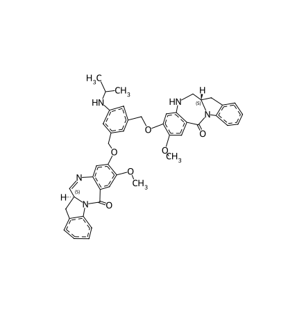 COc1cc2c(cc1OCc1cc(COc3cc4c(cc3OC)C(=O)N3c5ccccc5C[C@H]3CN4)cc(NC(C)C)c1)N=C[C@@H]1Cc3ccccc3N1C2=O